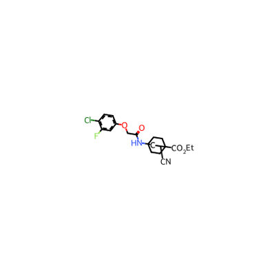 CCOC(=O)C12CCC(NC(=O)COc3ccc(Cl)c(F)c3)(CC1)CC2C#N